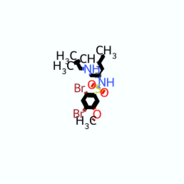 CCCC[C@H](CNCC(C)(C)C)NS(=O)(=O)c1cc(OC)c(Br)cc1Br